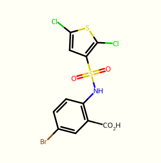 O=C(O)c1cc(Br)ccc1NS(=O)(=O)c1cc(Cl)sc1Cl